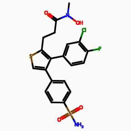 CN(O)C(=O)CCc1scc(-c2ccc(S(N)(=O)=O)cc2)c1-c1ccc(F)c(Cl)c1